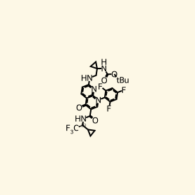 CC(C)(C)OC(=O)NC1(CNc2ccc3c(=O)c(C(=O)N[C@@H](C4CC4)C(F)(F)F)cn(-c4c(F)cc(F)cc4F)c3n2)CC1